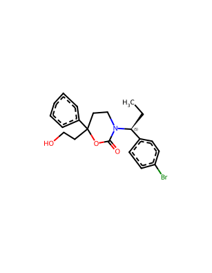 CC[C@@H](c1ccc(Br)cc1)N1CCC(CCO)(c2ccccc2)OC1=O